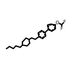 CCCCCC1CCC(CCc2ccc(-c3ccc(OC(F)F)cc3)cc2)CC1